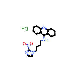 Cl.O=[N+]([O-])c1nccn1CCCCNc1c2ccccc2nc2ccccc12